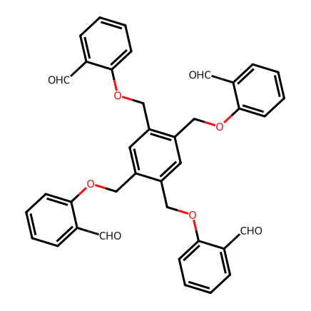 O=Cc1ccccc1OCc1cc(COc2ccccc2C=O)c(COc2ccccc2C=O)cc1COc1ccccc1C=O